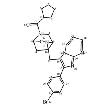 O=C(C1CCCC1)N1CC2CCC1CN2Cc1c(-c2ccc(Br)cc2)nc2ncccn12